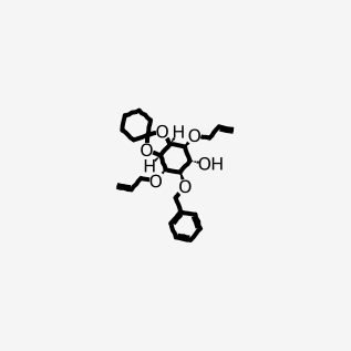 C=CCO[C@@H]1[C@H]2OC3(CCCCC3)O[C@H]2[C@@H](OCC=C)[C@H](O)[C@H]1OCc1ccccc1